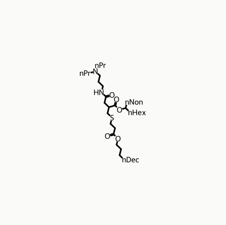 CCCCCCCCCCCCCOC(=O)CCSCC(CC(=O)NCCCN(CCC)CCC)C(=O)OC(CCCCCC)CCCCCCCCC